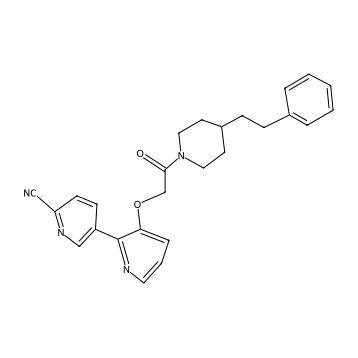 N#Cc1ccc(-c2ncccc2OCC(=O)N2CCC(CCc3ccccc3)CC2)cn1